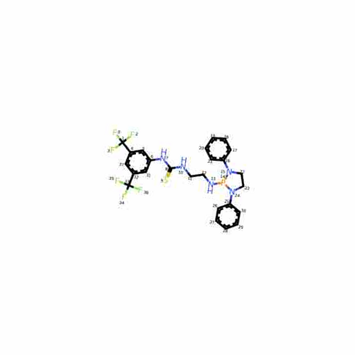 FC(F)(F)c1cc(NC(=S)NCCNP2N(c3ccccc3)CCN2c2ccccc2)cc(C(F)(F)F)c1